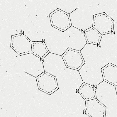 Cc1ccccc1-n1c(-c2cc(-c3nc4ncccc4n3-c3ccccc3C)cc(-c3nc4ncccc4n3-c3ccccc3C)c2)nc2ncccc21